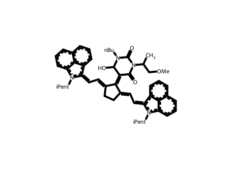 CCCCN1C(=O)N(C(C)COC)C(=O)C(=C2/C(=C/C=c3\c4cccc5cccc(c54)n3C(C)CCC)CC/C2=C\C=c2/c3cccc4cccc(c43)n2C(C)CCC)C1O